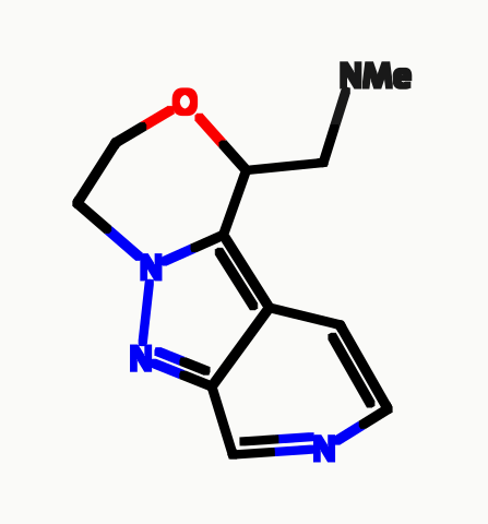 CNCC1OCCn2nc3cnccc3c21